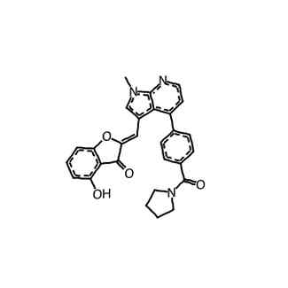 Cn1cc(C=C2Oc3cccc(O)c3C2=O)c2c(-c3ccc(C(=O)N4CCCC4)cc3)ccnc21